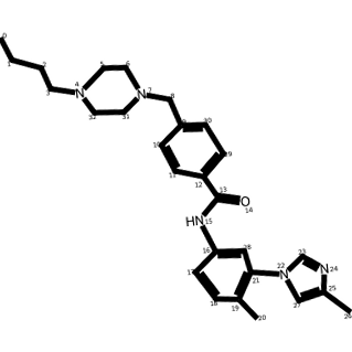 CCCCN1CCN(Cc2ccc(C(=O)Nc3ccc(C)c(-n4cnc(C)c4)c3)cc2)CC1